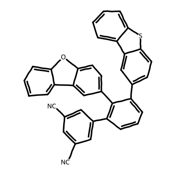 N#Cc1cc(C#N)cc(-c2cccc(-c3ccc4sc5ccccc5c4c3)c2-c2ccc3oc4ccccc4c3c2)c1